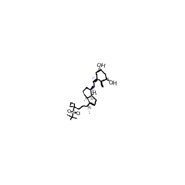 C=C1/C(=C\C=C2/CCC[C@]3(C)C([C@H](C)CCC4(S(=O)(=O)C(C)(C)C)CCC4)=CC[C@@H]23)C[C@H](O)C[C@H]1O